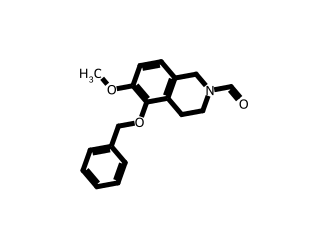 COc1ccc2c(c1OCc1ccccc1)CCN(C=O)C2